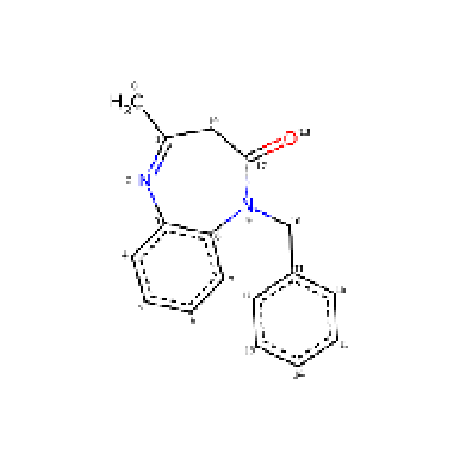 CC1=Nc2ccccc2N(Cc2ccccc2)C(=O)C1